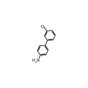 Nc1ccc(-c2cccc(Cl)c2)cc1